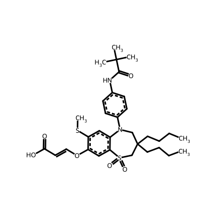 CCCCC1(CCCC)CN(c2ccc(NC(=O)C(C)(C)C)cc2)c2cc(SC)c(OC=CC(=O)O)cc2S(=O)(=O)C1